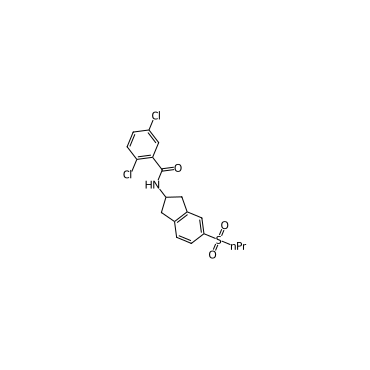 CCCS(=O)(=O)c1ccc2c(c1)CC(NC(=O)c1cc(Cl)ccc1Cl)C2